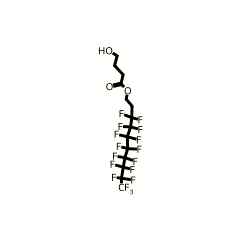 O=C(CCCO)OCCC(F)(F)C(F)(F)C(F)(F)C(F)(F)C(F)(F)C(F)(F)C(F)(F)C(F)(F)F